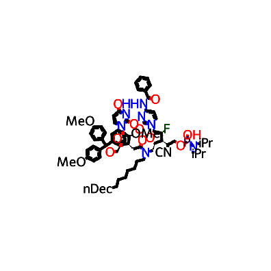 CCCCCCCCCCCCCCCCCN(C[C@@H]1O[C@@H](n2ccc(NC(=O)c3ccccc3)nc2=O)[C@H](F)[C@@H]1C(C#N)COP(O)N(C(C)C)C(C)C)C(=O)C[C@H]1[C@@H](OC)[C@H](n2ccc(=O)[nH]c2=O)O[C@@H]1COC(c1ccccc1)(c1ccc(OC)cc1)c1ccc(OC)cc1